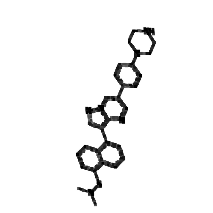 CN(C)Sc1cccc2c(-c3cnn4cc(-c5ccc(N6CCNCC6)cc5)cnc34)cccc12